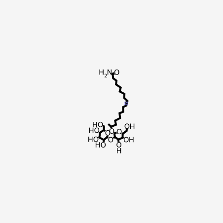 CC(CCCCCC/C=C\CCCCCCCC(N)=O)OC1OC(CO)C(O)C(O)C1OC1OC(CO)C(O)C(O)C1O